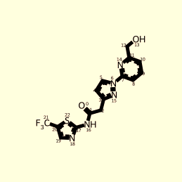 O=C(Cc1ccn(-c2cccc(CO)n2)n1)Nc1ncc(C(F)(F)F)s1